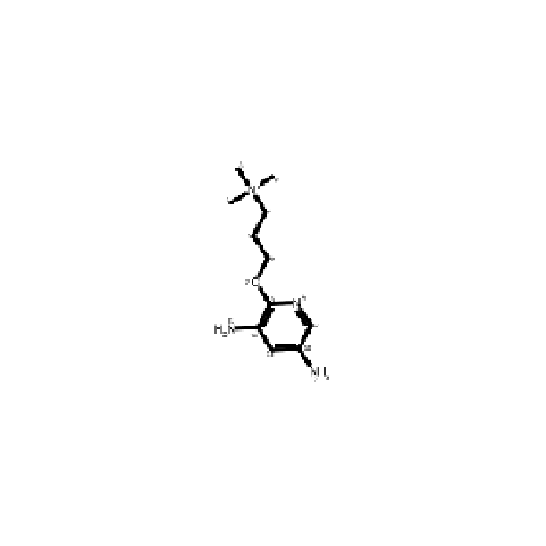 C[N+](C)(C)CCCOc1ncc(N)cc1N